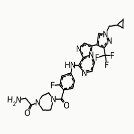 NCC(=O)N1CCN(C(=O)c2ccc(Nc3nccn4c(-c5cn(CC6CC6)nc5C(F)(F)F)cnc34)cc2F)CC1